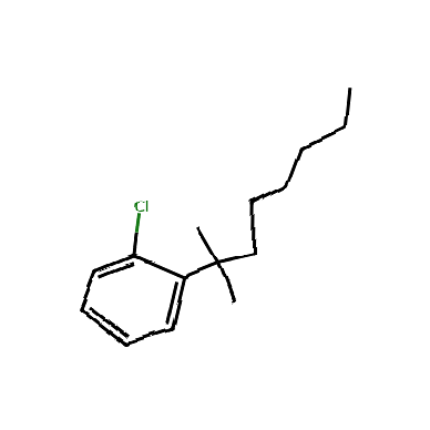 CCCCCCC(C)(C)c1ccccc1Cl